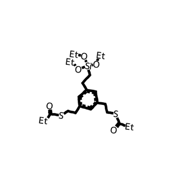 CCO[Si](CCc1cc(CCSC(=O)CC)cc(CCSC(=O)CC)c1)(OCC)OCC